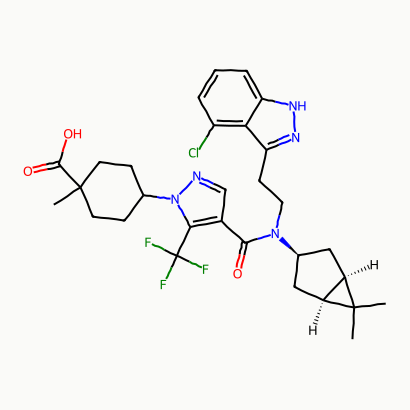 CC1(C(=O)O)CCC(n2ncc(C(=O)N(CCc3n[nH]c4cccc(Cl)c34)[C@H]3C[C@@H]4[C@H](C3)C4(C)C)c2C(F)(F)F)CC1